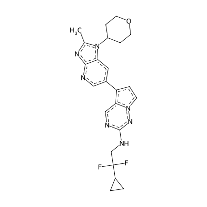 Cc1nc2ncc(-c3ccn4nc(NCC(F)(F)C5CC5)ncc34)cc2n1C1CCOCC1